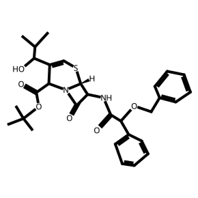 CC(C)C(O)C1=CS[C@@H]2C(NC(=O)C(OCc3ccccc3)c3ccccc3)C(=O)N2C1C(=O)OC(C)(C)C